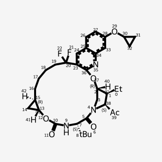 CC[C@@H]1[C@@H]2CN(C(=O)[C@H](C(C)(C)C)NC(=O)O[C@@H]3C[C@H]3CCCCC(F)(F)c3cc4ccc(OC5CC5)cc4nc3O2)[C@@H]1C(C)=O